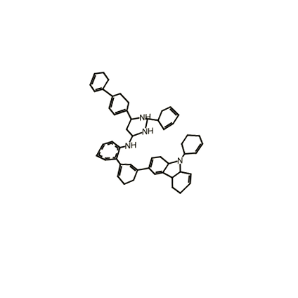 C1=CCCC(C2=CC=C(C3CC(Nc4ccccc4C4=CCCC(C5=CCC6C(=C5)C5CCC=CC5N6C5C=CCCC5)=C4)NC(C4C=CC=CC4)N3)CC2)=C1